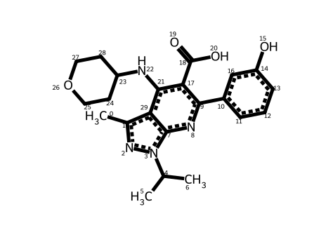 Cc1nn(C(C)C)c2nc(-c3cccc(O)c3)c(C(=O)O)c(NC3CCOCC3)c12